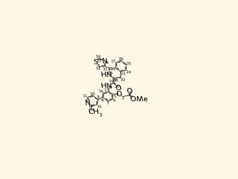 COC(=O)COc1ccc(-c2ccnc(C)c2)cc1NC(=O)[C@H](Cc1ccccc1)NCc1cscn1